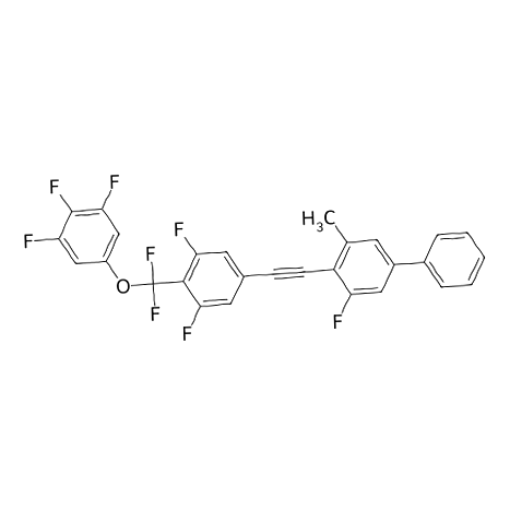 Cc1cc(-c2ccccc2)cc(F)c1C#Cc1cc(F)c(C(F)(F)Oc2cc(F)c(F)c(F)c2)c(F)c1